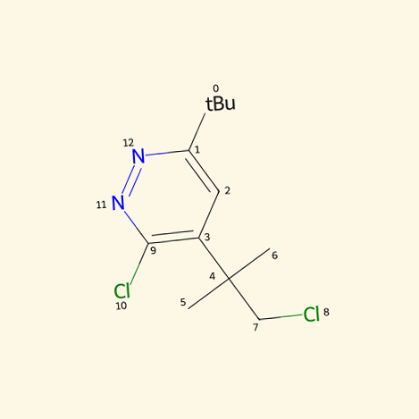 CC(C)(C)c1cc(C(C)(C)CCl)c(Cl)nn1